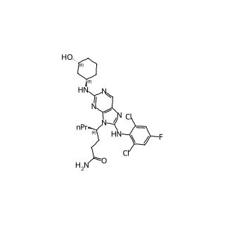 CCC[C@H](CCC(N)=O)n1c(Nc2c(Cl)cc(F)cc2Cl)nc2cnc(N[C@@H]3CCC[C@@H](O)C3)nc21